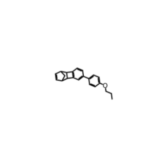 CCCOc1ccc(-c2ccc3c(c2)C2C4C=CC(C4)C32)cc1